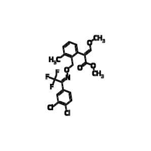 CO/C=C(/C(=O)OC)c1cccc(C)c1CO/N=C(/c1ccc(Cl)c(Cl)c1)C(F)(F)F